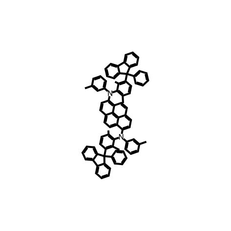 Cc1cccc(N(c2c(C)ccc(C3(c4ccccc4)c4ccccc4-c4ccccc43)c2C)c2ccc3ccc4c(N(c5cccc(C)c5)c5c(C)ccc(C6(c7ccccc7)c7ccccc7-c7ccccc76)c5C)ccc5ccc2c3c54)c1